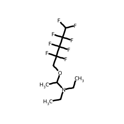 CCN(CC)C(C)OCC(F)(F)C(F)(F)C(F)(F)C(F)F